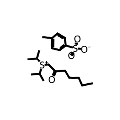 CCCCCC(=O)C[S+](C(C)C)C(C)C.Cc1ccc(S(=O)(=O)[O-])cc1